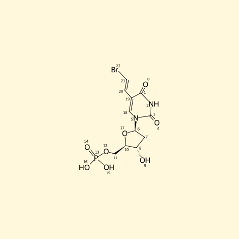 O=c1[nH]c(=O)n([C@H]2C[C@H](O)[C@@H](COP(=O)(O)O)O2)cc1/C=C/Br